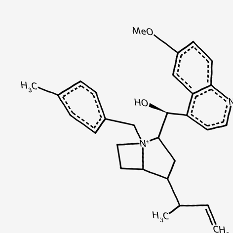 C=CC(C)C1CC([C@@H](O)c2ccnc3ccc(OC)cc23)[N+]2(Cc3ccc(C)cc3)CCC12